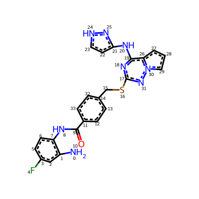 Nc1cc(F)ccc1NC(=O)c1ccc(CSc2nc(Nc3cc[nH]n3)c3cccn3n2)cc1